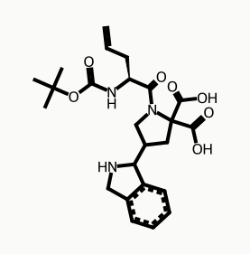 C=CC[C@H](NC(=O)OC(C)(C)C)C(=O)N1CC(C2NCc3ccccc32)CC1(C(=O)O)C(=O)O